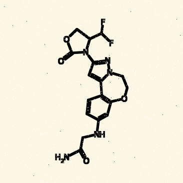 NC(=O)CNc1ccc2c(c1)OCCn1nc(N3C(=O)OCC3C(F)F)cc1-2